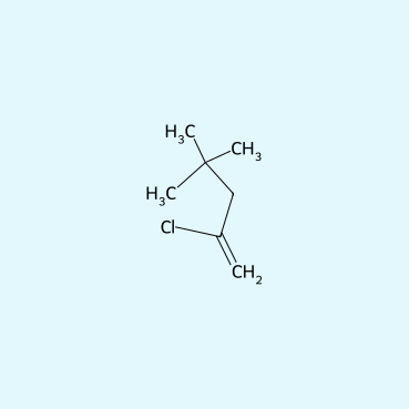 C=C(Cl)CC(C)(C)C